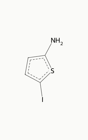 Nc1ccc(I)s1